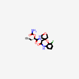 CC(C)(C)C[C@H](OC(N)=O)C(=O)N[C@H]1C(=O)Nc2cccc(F)c2OC12CCOCC2